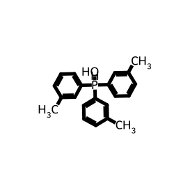 Cc1cccc([PH](O)(c2cccc(C)c2)c2cccc(C)c2)c1